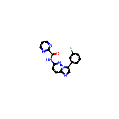 O=C(Nc1ccc2ncc(-c3cccc(F)c3)n2n1)c1ncccn1